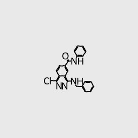 O=C(Nc1ccccc1)c1ccc2c(Cl)nnc(NCc3ccccc3)c2c1